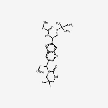 COCC(c1cnn2cc([C@H](COC(C)(C)C(F)(F)F)NC(=O)OC(C)(C)C)nc2c1)N1CC(F)(F)CNC1=O